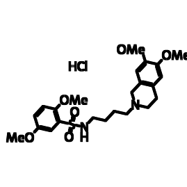 COc1ccc(OC)c(S(=O)(=O)NCCCCN2CCc3cc(OC)c(OC)cc3C2)c1.Cl